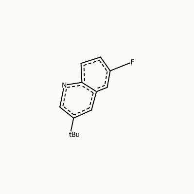 CC(C)(C)c1cnc2ccc(F)cc2c1